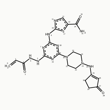 C=CC(=O)NNc1nc(Nc2ncc(C(N)=O)s2)nc(N2CCN(NC3=CC(=O)CC3)CC2)n1